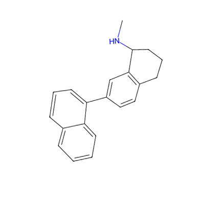 CNC1CCCc2ccc(-c3cccc4ccccc34)cc21